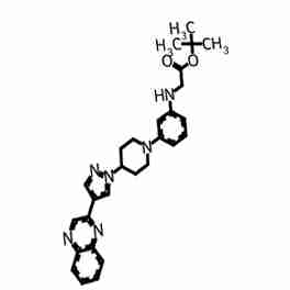 CC(C)(C)OC(=O)CNc1cccc(N2CCC(n3cc(-c4cnc5ccccc5n4)cn3)CC2)c1